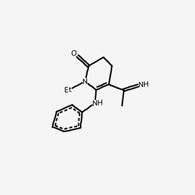 CCN1C(=O)CCC(C(C)=N)=C1Nc1ccccc1